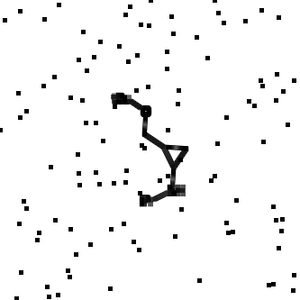 CC(C)NC1CC1COC(C)(C)C